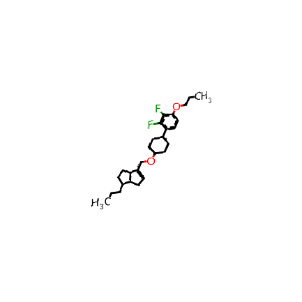 CCCOc1ccc(C2CCC(OCC3=CCC4C(CCC)CCC34)CC2)c(F)c1F